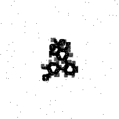 Cc1ccc(-c2ccncc2-c2cc(F)c(S(C)(=O)=O)c(F)c2)cc1Cl